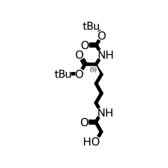 CC(C)(C)OC(=O)N[C@@H](CCCCNC(=O)CO)C(=O)OC(C)(C)C